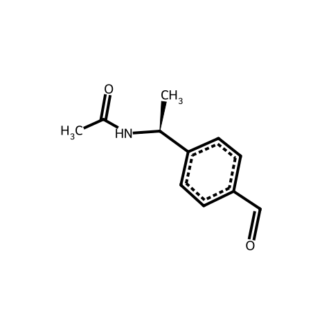 CC(=O)N[C@@H](C)c1ccc(C=O)cc1